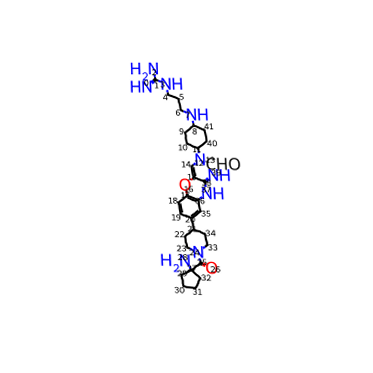 N=C(N)NCCCNC1CCC(N(C=O)/C=C2/Oc3ccc(C4CCN(C(=O)C5(N)CCCC5)CC4)cc3NC2=N)CC1